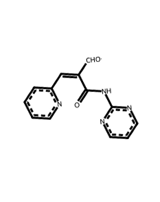 O=[C]C(=Cc1ccccn1)C(=O)Nc1ncccn1